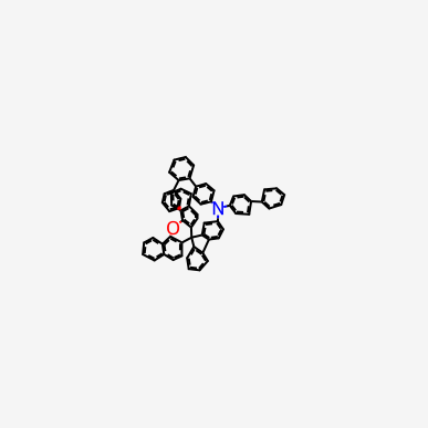 c1ccc(-c2ccc(N(c3ccc(-c4ccccc4-c4ccccc4)cc3)c3ccc4c(c3)C3(c5ccccc5-4)c4ccc5ccccc5c4Oc4c3ccc3ccccc43)cc2)cc1